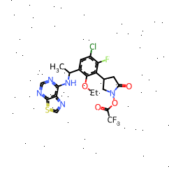 CCOc1c(C(C)Nc2ncnc3scnc23)cc(Cl)c(F)c1C1CC(=O)N(OC(=O)C(F)(F)F)C1